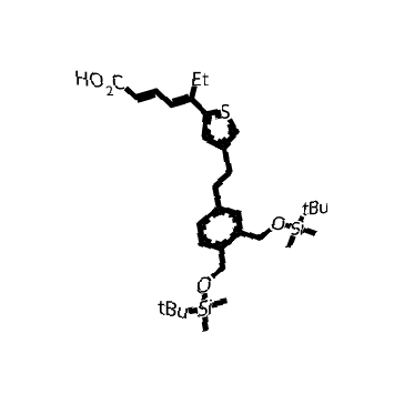 CCC(=CC=CC(=O)O)c1cc(CCc2ccc(CO[Si](C)(C)C(C)(C)C)c(CO[Si](C)(C)C(C)(C)C)c2)cs1